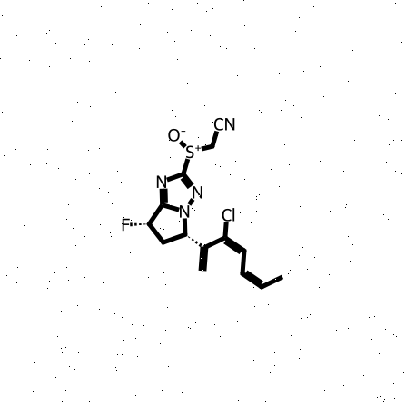 C=C(/C(Cl)=C\C=C/C)[C@@H]1C[C@H](F)c2nc([S+]([O-])CC#N)nn21